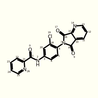 O=C(Nc1ccc(N2C(=O)c3cccnc3C2=O)c(Cl)c1)c1ccccn1